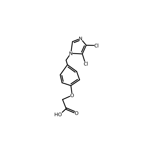 O=C(O)COc1ccc(Cn2cnc(Cl)c2Cl)cc1